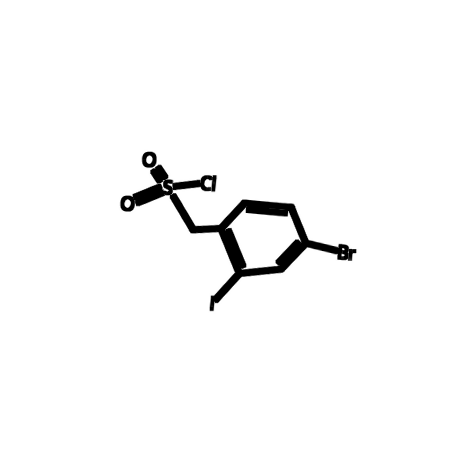 O=S(=O)(Cl)Cc1ccc(Br)cc1I